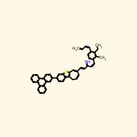 C=C/C=C\c1ccc(/C=C\C(=N)/C=C/C2=Cc3sc4cc(-c5ccc6c7ccccc7c7ccccc7c6c5)ccc4c3CC=C2)c(C)c1CC